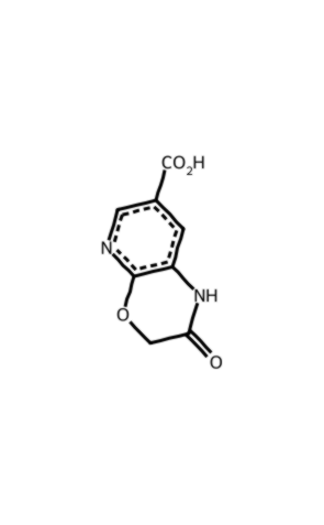 O=C1COc2ncc(C(=O)O)cc2N1